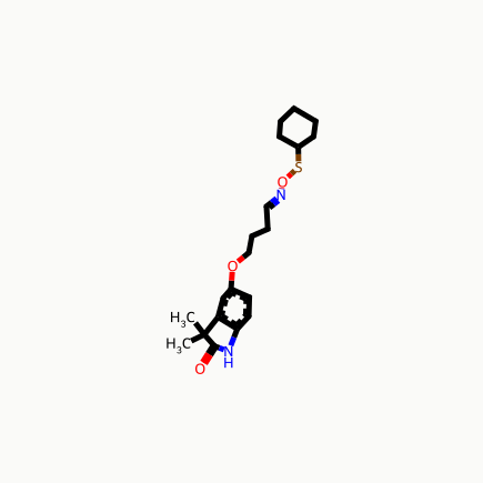 CC1(C)C(=O)Nc2ccc(OCCCC=NOSC3CCCCC3)cc21